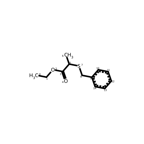 CCOC(=O)C(C)SCc1ccccc1